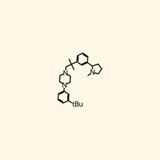 CN1CCCC1c1cccc(C(C)(C)CN2CCN(c3cccc(C(C)(C)C)c3)CC2)c1